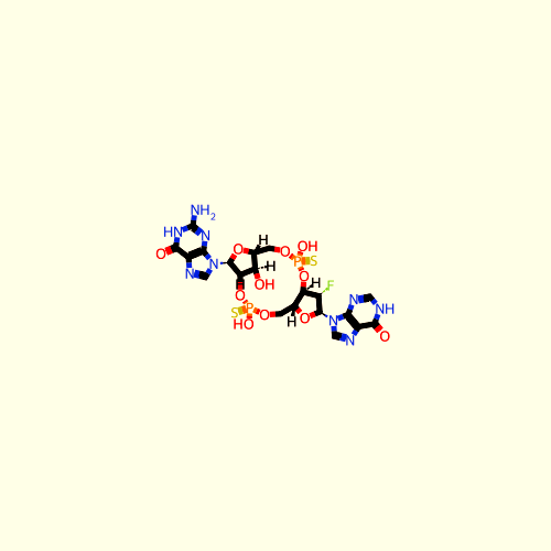 Nc1nc2c(ncn2[C@@H]2O[C@@H]3COP(O)(=S)O[C@H]4[C@H](F)[C@H](n5cnc6c(=O)[nH]cnc65)O[C@@H]4COP(O)(=S)O[C@@H]2[C@@H]3O)c(=O)[nH]1